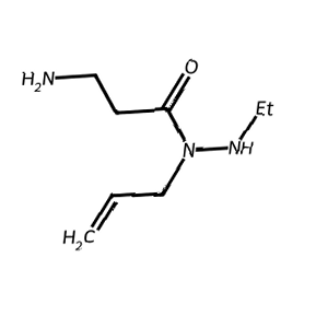 C=CCN(NCC)C(=O)CCN